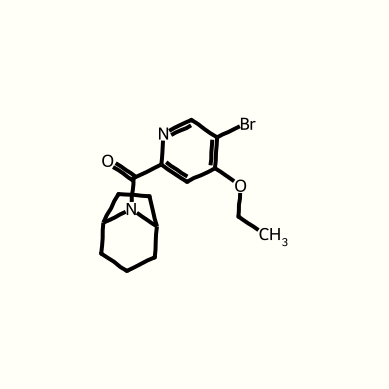 CCOc1cc(C(=O)N2C3CCCC2CC3)ncc1Br